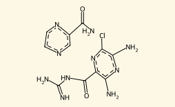 N=C(N)NC(=O)c1nc(Cl)c(N)nc1N.NC(=O)c1cnccn1